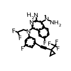 CN(N)c1c(N)nc(N(CC(F)F)c2cc(F)cc(C#CC3(C(F)(F)F)CC3)c2)c2cc(F)ccc12